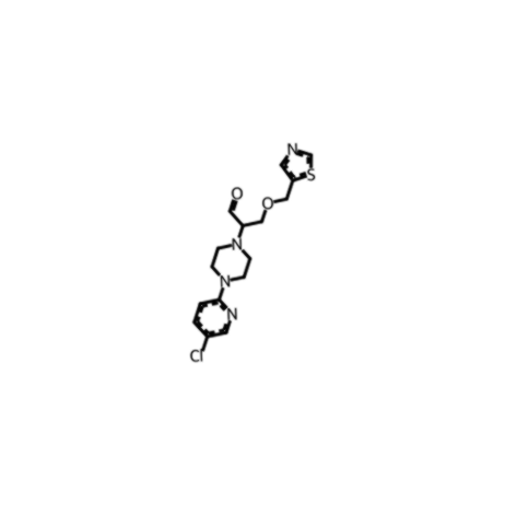 O=CC(COCc1cncs1)N1CCN(c2ccc(Cl)cn2)CC1